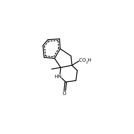 CC12NC(=O)CCC1(C(=O)O)Cc1ccccc12